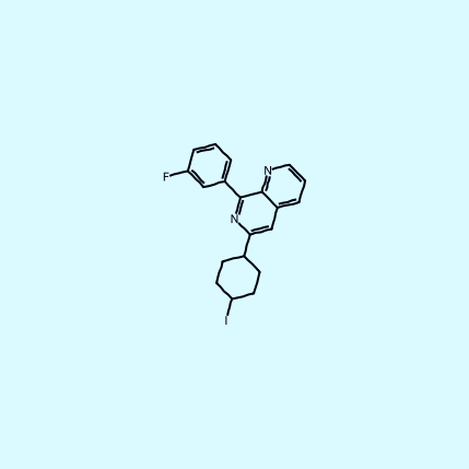 Fc1cccc(-c2nc(C3CCC(I)CC3)cc3cccnc23)c1